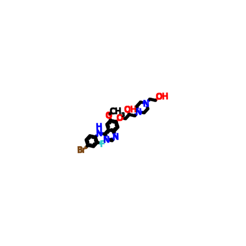 COc1cc2c(Nc3ccc(Br)cc3F)ncnc2cc1OCC(O)CN1CCN(CCO)CC1